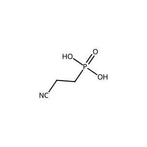 N#CCCP(=O)(O)O